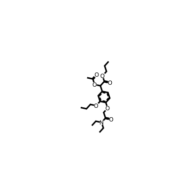 CCCOC(=O)C(OC(C)=O)c1ccc(OCC(=O)N(CC)CC)c(OCCC)c1